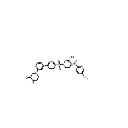 O=C1CN(c2cc(-c3ccc(S(=O)(=O)N4CC[C@@H](Nc5ccc(C(F)(F)F)cn5)[C@@H](O)C4)cc3)ccn2)CCN1